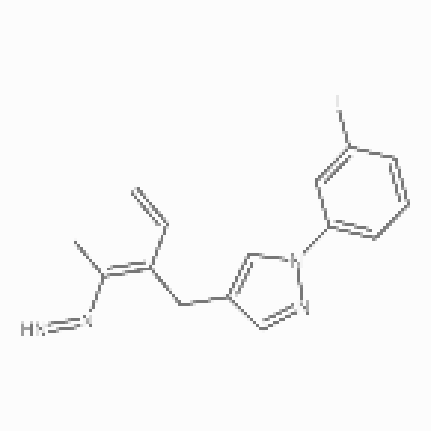 C=C/C(Cc1cnn(-c2cccc(I)c2)c1)=C(\C)N=N